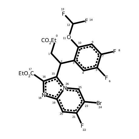 CCOC(=O)CC(c1cc(F)c(F)cc1OC(F)F)c1c(C(=O)OCC)nc2cc(F)c(Br)cn12